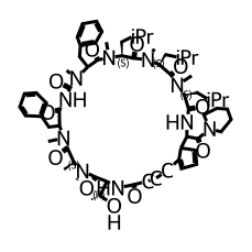 CC(C)C[C@H]1C(=O)N(C)[C@@H](CC(C)C)C(=O)N(C)[C@@H](CC(C)C)C(=O)NC(C(=O)N2CCCCC2)C2C=CC=C2CCCC(=O)NC([C@@H](C)O)C(=O)N(C)[C@@H](C)C(=O)N(C)C(Cc2ccccc2)C(=O)NC(=O)N(C)C(Cc2ccccc2)C(=O)N1C